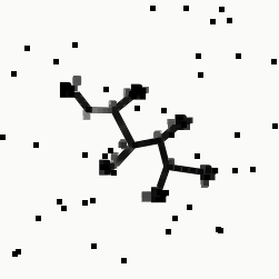 BrCC(Br)C(Br)C(Br)C(Br)Br